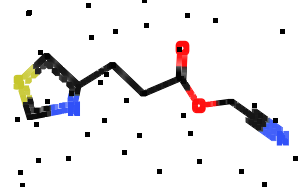 N#CCOC(=O)CCc1cscn1